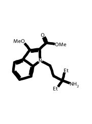 CCC(N)(CC)CCn1c(C(=O)OC)c(OC)c2ccccc21